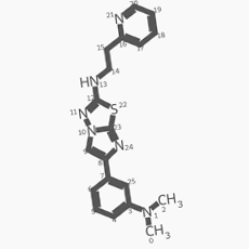 CN(C)c1cccc(-c2cn3nc(NCCc4ccccn4)sc3n2)c1